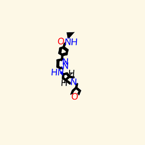 O=C(NC1CC1)c1ccc(-c2ccc(NC3C[C@@H]4CN(CC5CCOCC5)C[C@@H]4C3)nn2)cc1